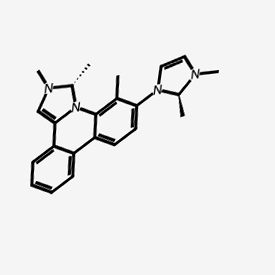 Cc1c(N2C=CN(C)[C@H]2C)ccc2c1N1C(=CN(C)[C@@H]1C)c1ccccc1-2